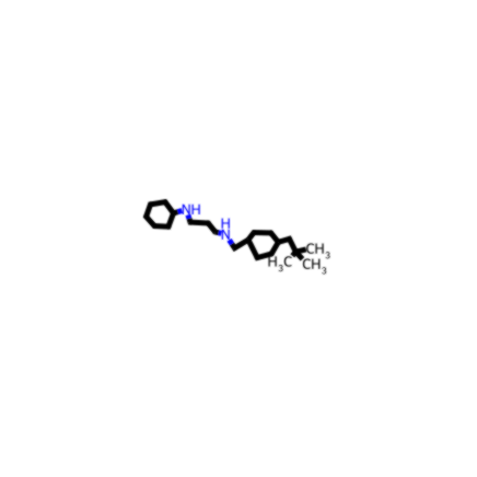 CC(C)(C)CC1CCC(CNCCCNC2CCCCC2)CC1